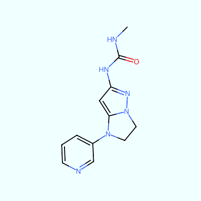 CNC(=O)Nc1cc2n(n1)CCN2c1cccnc1